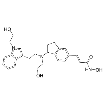 O=C(C=Cc1ccc2c(c1)CCC2N(CCO)CCc1cn(CCO)c2ccccc12)NO